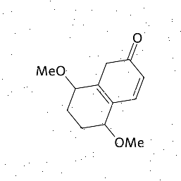 COC1CCC(OC)C2=C1C=CC(=O)C2